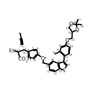 CC#C[C@H](c1ccc(OCc2ccc3scc(-c4ccc(OCC5COC(C)(C)O5)cc4C)c3c2)cc1)C(CC)C(=O)O